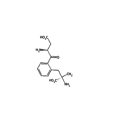 [CH2][C@@](N)(Cc1ccccc1C(=O)[C@@H](N)CC(=O)O)C(=O)O